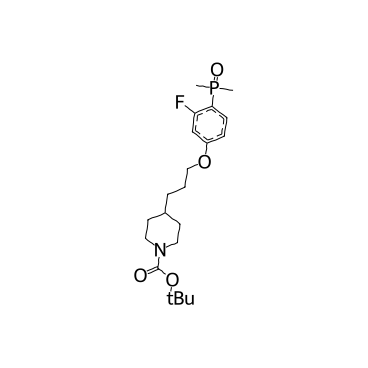 CC(C)(C)OC(=O)N1CCC(CCCOc2ccc(P(C)(C)=O)c(F)c2)CC1